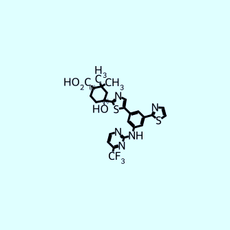 CC1(C)C[C@@](O)(c2ncc(-c3cc(Nc4nccc(C(F)(F)F)n4)cc(-c4nccs4)c3)s2)CC[C@H]1C(=O)O